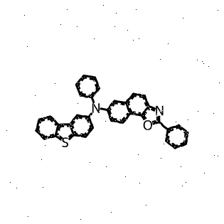 c1ccc(-c2nc3ccc4cc(N(c5ccccc5)c5ccc6sc7ccccc7c6c5)ccc4c3o2)cc1